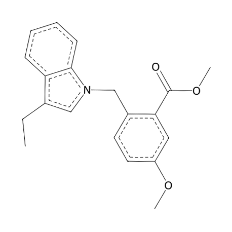 CCc1cn(Cc2ccc(OC)cc2C(=O)OC)c2ccccc12